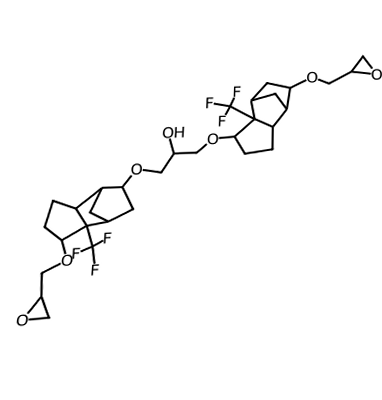 OC(COC1CC2CC1C1CCC(OCC3CO3)C21C(F)(F)F)COC1CCC2C3CC(CC3OCC3CO3)C12C(F)(F)F